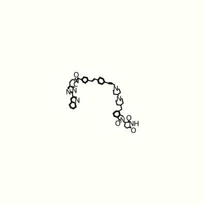 O=C1CCC(N2Cc3c(CC4CCN(C5CCN(CC#Cc6ccc(/C=C/c7ccc(C(=O)N8CCc9cnc(-c%10cnc%11ccccc%11c%10)nc9C8)cc7)cc6)CC5)CC4)cccc3C2=O)C(=O)N1